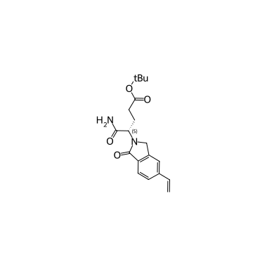 C=Cc1ccc2c(c1)CN([C@@H](CCC(=O)OC(C)(C)C)C(N)=O)C2=O